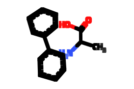 CC(N)C(=O)O.c1ccc(-c2ccccc2)cc1